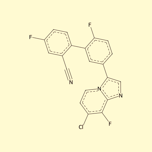 N#Cc1cc(F)ccc1-c1cc(-c2cnc3c(F)c(Cl)ccn23)ccc1F